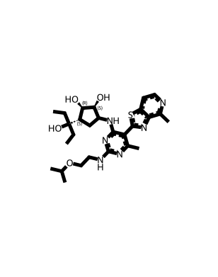 CCC(O)(CC)[C@H]1CC(Nc2nc(NCCOC(C)C)nc(C)c2-c2nc3c(C)nccc3s2)[C@H](O)[C@@H]1O